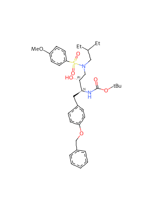 CCC(CC)CN(C[C@@H](O)[C@H](Cc1ccc(OCc2ccccc2)cc1)NC(=O)OC(C)(C)C)S(=O)(=O)c1ccc(OC)cc1